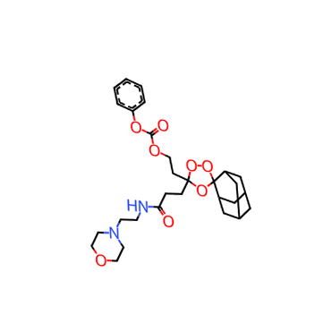 O=C(CCC1(CCOC(=O)Oc2ccccc2)OOC2(O1)C1CC3CC(C1)CC2C3)NCCN1CCOCC1